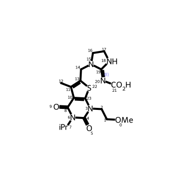 COCCn1c(=O)n(C(C)C)c(=O)c2c(C)c(CN3CCN/C3=N\C(=O)O)sc21